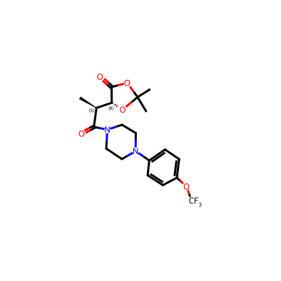 C[C@H](C(=O)N1CCN(c2ccc(OC(F)(F)F)cc2)CC1)[C@H]1OC(C)(C)OC1=O